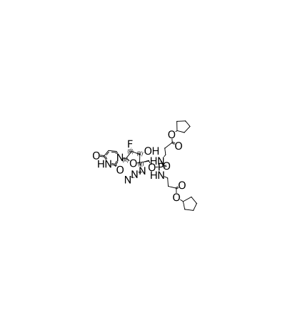 [N-]=[N+]=N[C@]1(COP(=O)(NCCC(=O)OC2CCCC2)NCCC(=O)OC2CCCC2)O[C@@H](n2ccc(=O)[nH]c2=O)[C@H](F)[C@@H]1O